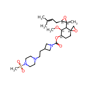 CO[C@H]1C([C@@]2(C)O[C@@H]2CC=C(C)C)[C@]2(CC[C@H]1OC(=O)N1CC(CCN3CCN(S(C)(=O)=O)CC3)C1)CO2